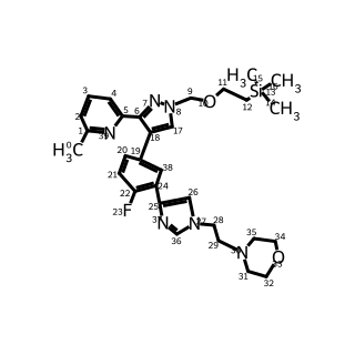 Cc1cccc(-c2nn(COCC[Si](C)(C)C)cc2-c2ccc(F)c(-c3cn(CCN4CCOCC4)cn3)c2)n1